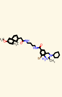 CCN(Cc1cc(C(=O)NCCCCNC(=O)Cc2ccc3cc(OC)ccc3c2C)cc(Br)c1N)C1CCCCC1